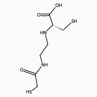 O=C(CS)NCCN[C@@H](CS)C(=O)O